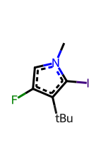 Cn1cc(F)c(C(C)(C)C)c1I